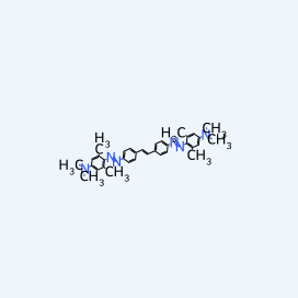 Cc1cc(N(C)C)cc(C)c1N=Nc1ccc(C=Cc2ccc(N=Nc3c(C)cc(N(C)C)cc3C)cc2)cc1